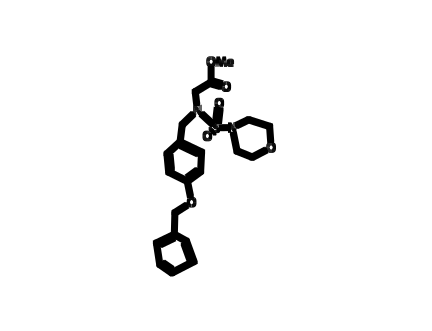 COC(=O)CN(Cc1ccc(OCc2ccccc2)cc1)S(=O)(=O)N1CCOCC1